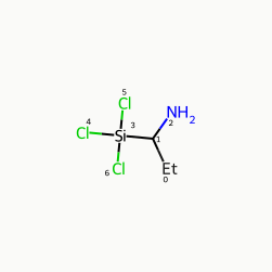 CCC(N)[Si](Cl)(Cl)Cl